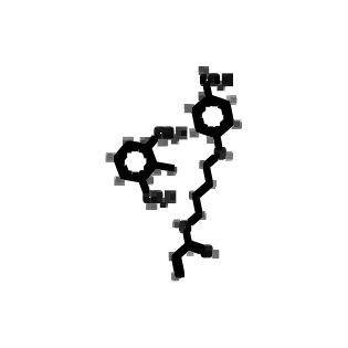 C=CC(=O)OCCCCOc1ccc(C(=O)O)cc1.Cc1c(C(=O)O)cccc1C(=O)O